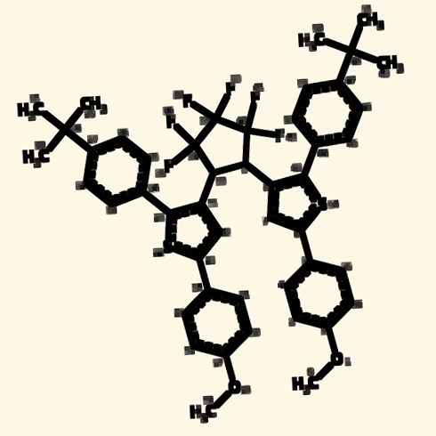 COc1ccc(-c2cc(C3C(c4cc(-c5ccc(OC)cc5)sc4-c4ccc(C(C)(C)C)cc4)C(F)(F)C(F)(F)C3(F)F)c(-c3ccc(C(C)(C)C)cc3)s2)cc1